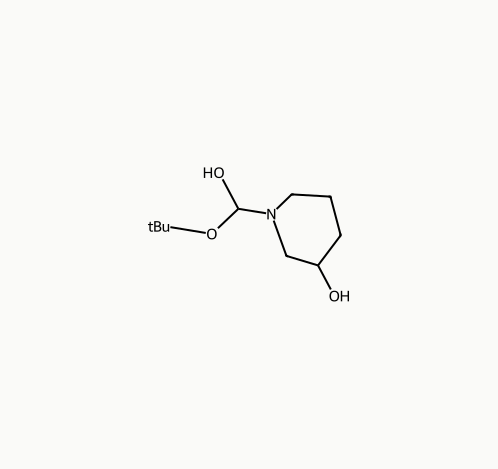 CC(C)(C)OC(O)N1CCCC(O)C1